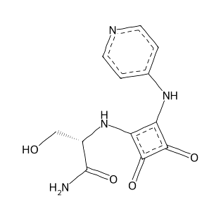 NC(=O)[C@H](CO)Nc1c(Nc2ccncc2)c(=O)c1=O